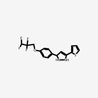 FC(F)C(F)(F)COc1ccc(C2C=C(c3cccs3)NN2)cc1